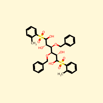 Cc1ccccc1S(=O)(=O)C(O)[C@@H](O)[C@@H](OCc1ccccc1)[C@H](OCc1ccccc1)[C@H](O)C(O)S(=O)(=O)c1ccccc1C